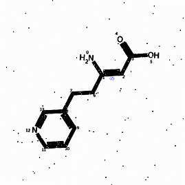 N/C(=C\C(=O)O)CCc1cccnc1